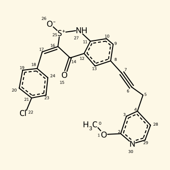 COc1cc(CC#Cc2ccc3c(c2)C(=O)/C(=C\c2ccc(Cl)cc2)[S+]([O-])N3)ccn1